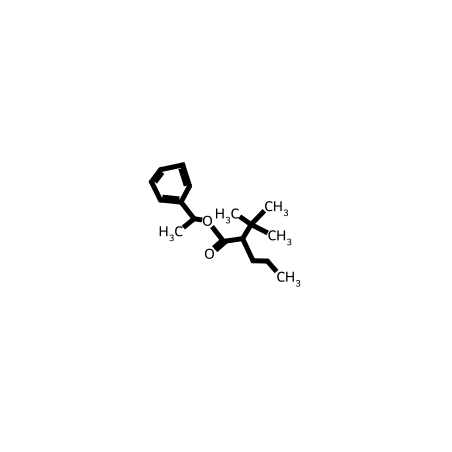 CCCC(C(=O)OC(C)c1ccccc1)C(C)(C)C